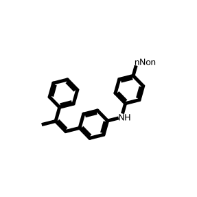 CCCCCCCCCc1ccc(Nc2ccc(C=C(C)c3ccccc3)cc2)cc1